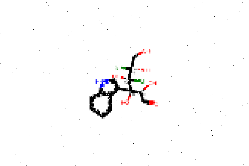 O=C[C@H](O)[C@](O)(c1c[nH]c2ccccc12)[C@@](O)(Cl)[C@@](O)(Br)CO